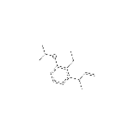 C=C[C](C)c1cccc(OC(C)C)c1CC